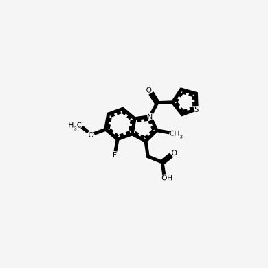 COc1ccc2c(c1F)c(CC(=O)O)c(C)n2C(=O)c1ccsc1